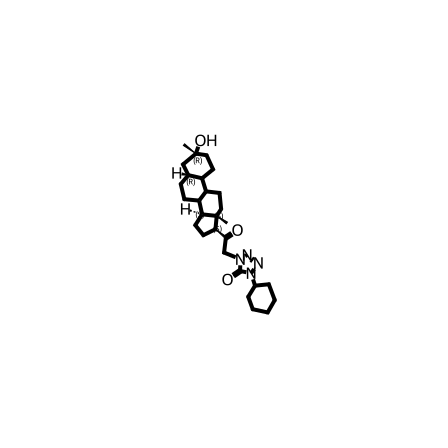 C[C@@]1(O)CCC2C3CC[C@]4(C)[C@@H](C(=O)Cn5nnn(C6CCCCC6)c5=O)CC[C@H]4C3CC[C@@H]2C1